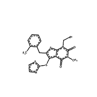 CC(C)Cn1c(=O)n(C)c(=O)c2c(Sc3nccs3)c(Cc3ccccc3C(F)(F)F)sc21